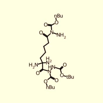 CCCCOC(=O)N(N)C(=O)CCCCC(N)(N)C(=O)N(NC(=O)OC(C)(C)C)C(=O)OCCCC